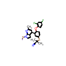 Cc1cc(-c2cc(SC(C)(C)C#N)ccc2Oc2ccc(F)cc2F)c2ccn(SI)c2n1